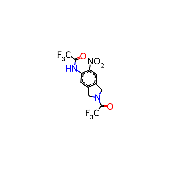 O=C(Nc1cc2c(cc1[N+](=O)[O-])CN(C(=O)C(F)(F)F)C2)C(F)(F)F